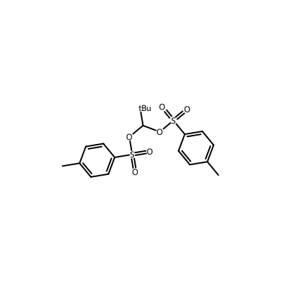 Cc1ccc(S(=O)(=O)OC(OS(=O)(=O)c2ccc(C)cc2)C(C)(C)C)cc1